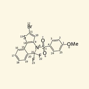 COc1ccc(S(=O)(=O)N2c3cc(Br)sc3-c3ccccc3C2(F)F)cc1